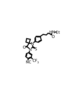 [C-]#[N+]c1ccc(N2C(=O)C3(CCC3)N(c3ccc(CCCC(=O)NCC)cc3)C2=S)cc1C(F)(F)F